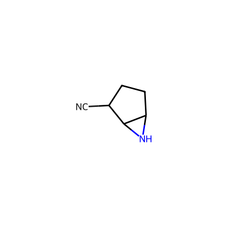 N#CC1CCC2NC12